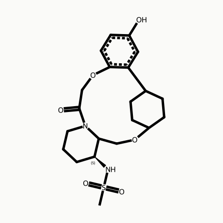 CS(=O)(=O)N[C@H]1CCCN2C(=O)COc3ccc(O)cc3C3CCC(CC3)OCC12